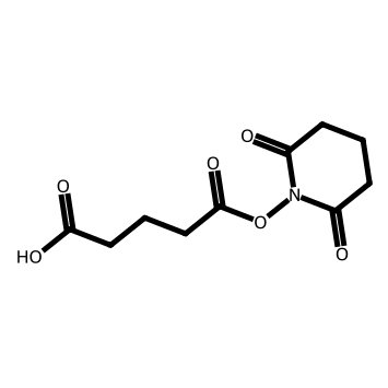 O=C(O)CCCC(=O)ON1C(=O)CCCC1=O